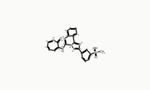 C[S@@](=N)(=O)c1cccc(-c2nc3c4ccccc4nc(Nc4ccccnc4=O)n3n2)c1